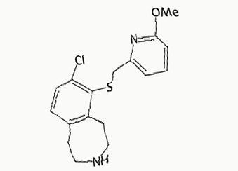 COc1cccc(CSc2c(Cl)ccc3c2CCNCC3)n1